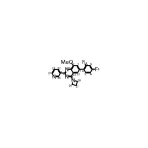 COc1cc(-c2ccc(F)cc2F)cc2c(N3CCC3)nc(-c3cccnc3)nc12